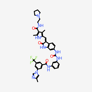 Cc1cn(-c2cc(C(=O)Nc3cccc(NC(=O)Nc4ccc5c(c4)NC(=O)C5=Cc4[nH]c(C)c(C(=O)NCCN5CCCC5)c4C)c3)cc(C(F)(F)F)c2)cn1